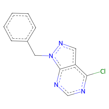 Clc1ncnc2c1cnn2Cc1ccccc1